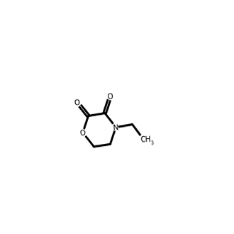 CCN1CCOC(=O)C1=O